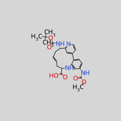 COC(=O)Nc1ccc2c(c1)NC(C(=O)O)C/C=C/C[C@H](NC(=O)OC(C)(C)C)c1cc-2ccn1